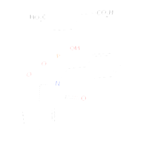 O=C(O)CCC(CP(=O)(O)C(c1ccccc1)N1C(=O)c2ccccc2C1=O)C(=O)O